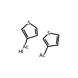 CC(=O)c1ccsc1.CC(=O)c1ccsc1.I